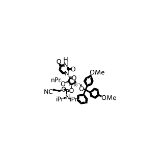 CCCO[C@@H]1[C@H](OP(OCCC#N)N(C(C)C)C(C)C)[C@@H](COC(c2ccccc2)(c2ccc(OC)cc2)c2ccc(OC)cc2)O[C@H]1n1ccc(=O)[nH]c1=O